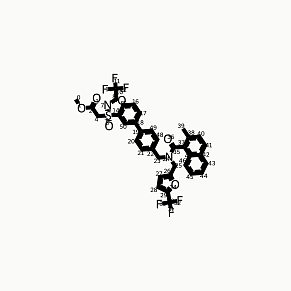 COC(=O)CS(=O)(=NC(=O)C(F)(F)F)c1cccc(-c2ccc(CN(Cc3ccc(C(F)(F)F)o3)C(=O)c3c(C)ccc4ccccc34)cc2)c1